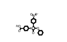 O=C(O)c1ccc(N2C(=O)C(Oc3ccccc3)C2c2ccc([N+](=O)[O-])cc2)cc1